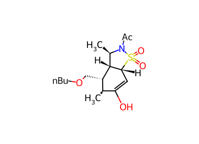 CCCCOC[C@@H]1[C@@H]2[C@@H](C)N(C(C)=O)S(=O)(=O)[C@@H]2C=C(O)[C@H]1C